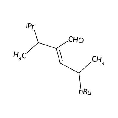 CCCCC(C)/C=C(\C=O)C(C)C(C)C